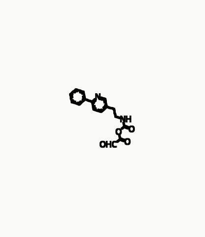 O=CC(=O)OC(=O)NCCc1ccc(-c2ccccc2)nc1